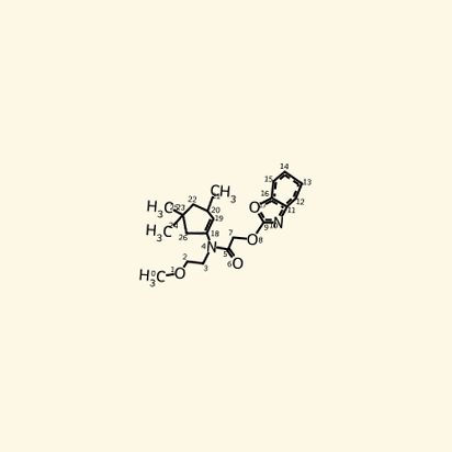 COCCN(C(=O)COc1nc2ccccc2o1)C1=CC(C)CC(C)(C)C1